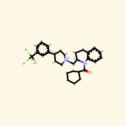 O=C(C1CCCCC1)N1c2ccccc2CCC1CN1CCC(c2cccc(C(F)(F)F)c2)CC1